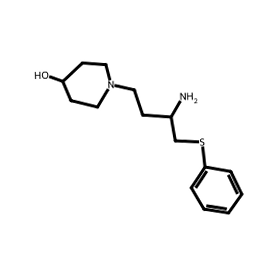 NC(CCN1CCC(O)CC1)CSc1ccccc1